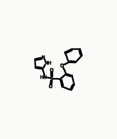 O=S(=O)(Nc1ccn[nH]1)c1ccccc1Oc1ccccc1